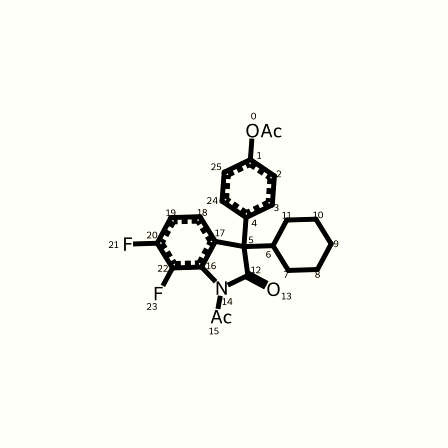 CC(=O)Oc1ccc(C2(C3CCCCC3)C(=O)N(C(C)=O)c3c2ccc(F)c3F)cc1